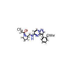 COc1ccccc1-c1cnn2ccc(NCC3CCCN3C(=O)CC(F)(F)F)nc12